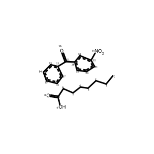 CCCCCCCC(=O)O.O=C(c1ccccc1)c1cccc([N+](=O)[O-])c1